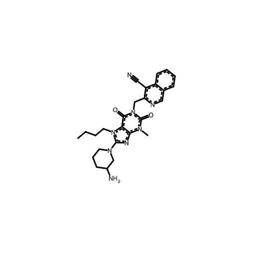 CCCCn1c(N2CCCC(N)C2)nc2c1c(=O)n(Cc1ncc3ccccc3c1C#N)c(=O)n2C